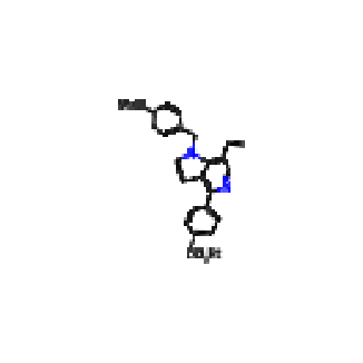 C=Cc1cnc(-c2ccc(C(=O)OCC)cc2)c2ccn(Cc3ccc(OC)cc3)c12